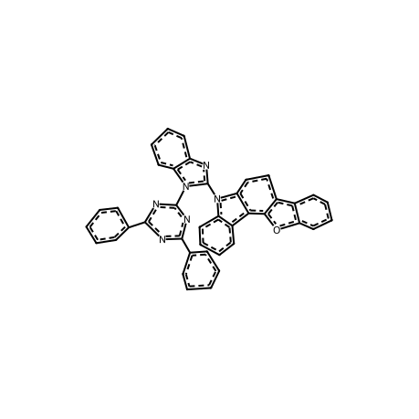 c1ccc(-c2nc(-c3ccccc3)nc(-n3c(-n4c5ccccc5c5c6oc7ccccc7c6ccc54)nc4ccccc43)n2)cc1